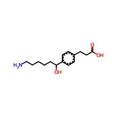 NCCCCCC(O)c1ccc(CCC(=O)O)cc1